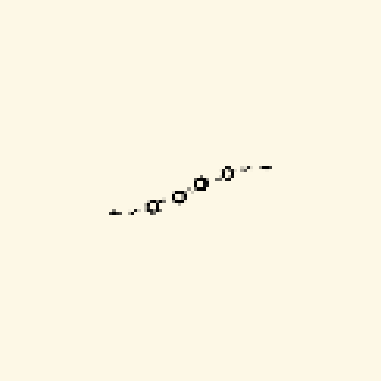 C=CC(=O)OCCOc1ccc(C(=O)Oc2ccc(S(=O)(=O)c3ccc(OC(=O)c4ccc(OCCOC(=O)C=C)cc4F)cc3)cc2)c(F)c1